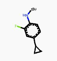 CC(C)(C)Nc1ccc(C2CC2)cc1F